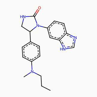 CCCN(C)c1ccc(C2CNC(=O)N2c2ccc3nc[nH]c3c2)cc1